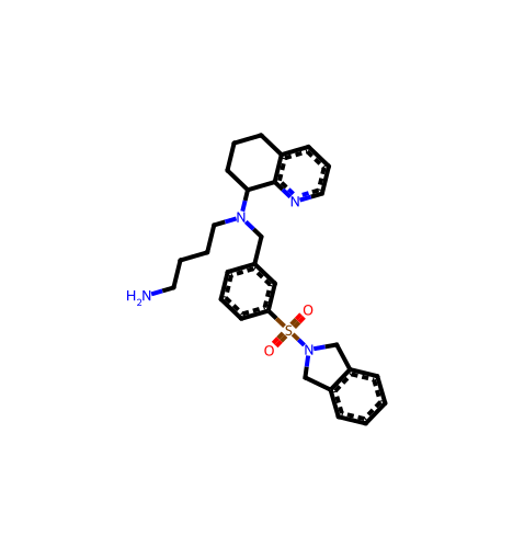 NCCCCN(Cc1cccc(S(=O)(=O)N2Cc3ccccc3C2)c1)C1CCCc2cccnc21